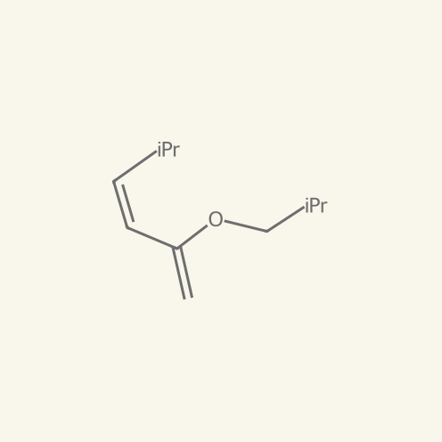 C=C(/C=C\C(C)C)OCC(C)C